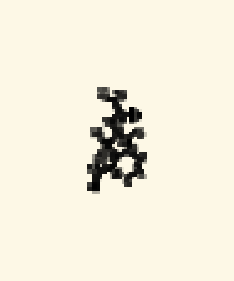 C/C=C\C1C(C)/C(=C\C(I)=C/C)C(C)(C)C1/C=C/I